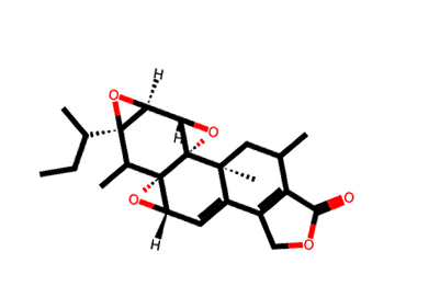 CCC(C)[C@]12O[C@H]1[C@@H]1O[C@@]13[C@@]1(C)CC(C)C4=C(COC4=O)C1=C[C@@H]1O[C@@]13C2C